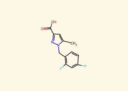 Cc1cc(C(=O)O)nn1Cc1ccc(F)cc1F